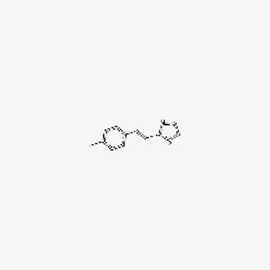 Cc1ccc(C=Cc2nccs2)cc1